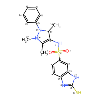 CC1=C(NS(=O)(=O)c2ccc3nc(S)[nH]c3c2)C(C)N(c2ccccc2)N1C